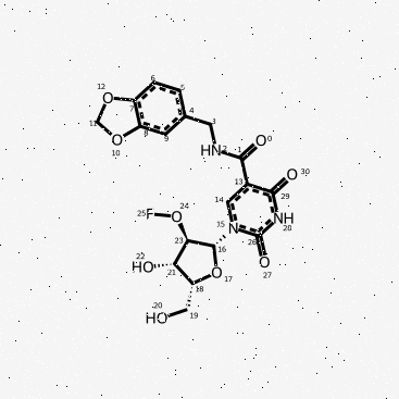 O=C(NCc1ccc2c(c1)OCO2)c1cn([C@@H]2O[C@H](CO)[C@H](O)[C@H]2OF)c(=O)[nH]c1=O